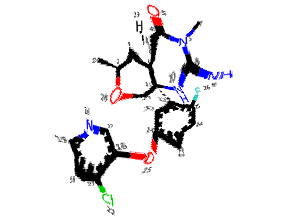 C[C@H]1C[C@H]2C(=O)N(C)C(=N)N[C@@]2(c2cc(Oc3cnccc3Cl)ccc2F)CO1